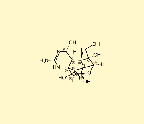 NC1=N[C@H](O)[C@H]2[C@H]3O[C@]4(O)O[C@@H]([C@H](O)[C@@]2(N1)[C@@H]4O)[C@]3(O)CO